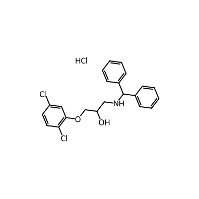 Cl.OC(CNC(c1ccccc1)c1ccccc1)COc1cc(Cl)ccc1Cl